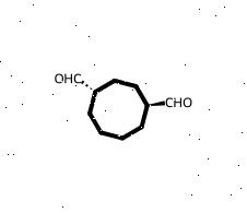 O=C[C@H]1CCCC[C@H](C=O)CC1